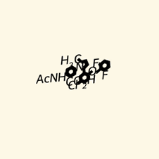 CC(=O)Nc1ccc(-n2c(C)ccc2-c2cc(Cl)ccc2OCc2c(F)cccc2F)cc1C(=O)O